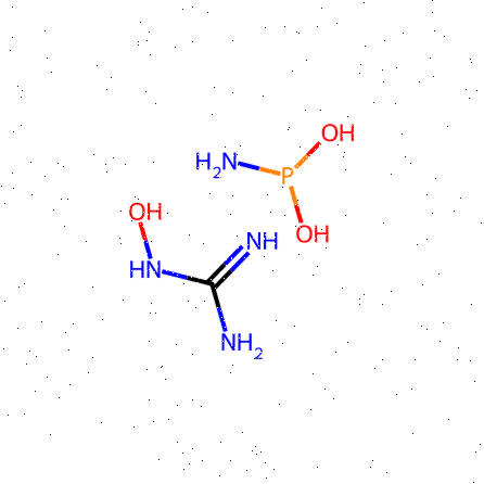 N=C(N)NO.NP(O)O